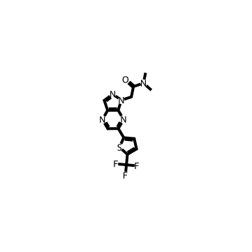 CN(C)C(=O)Cn1ncc2ncc(-c3ccc(C(F)(F)F)s3)nc21